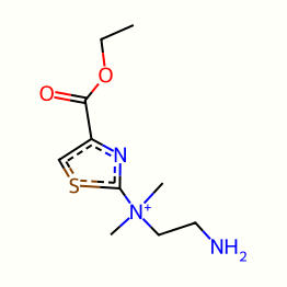 CCOC(=O)c1csc([N+](C)(C)CCN)n1